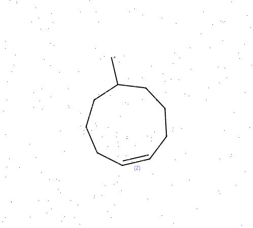 [CH2]C1CCC/C=C\CCC1